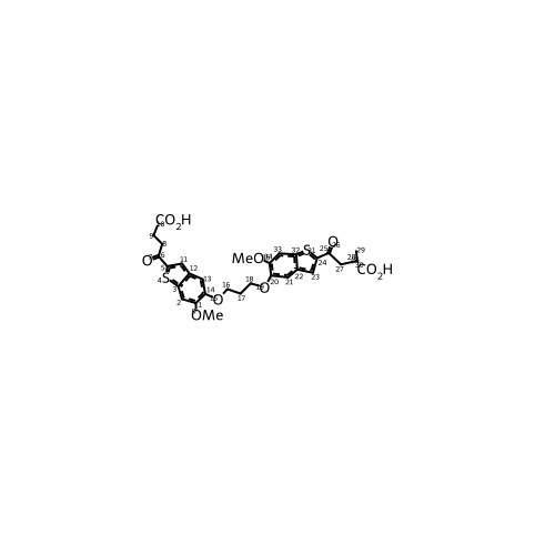 COc1cc2sc(C(=O)CCC(=O)O)cc2cc1OCCCOc1cc2cc(C(=O)C[C@H](C)C(=O)O)sc2cc1OC